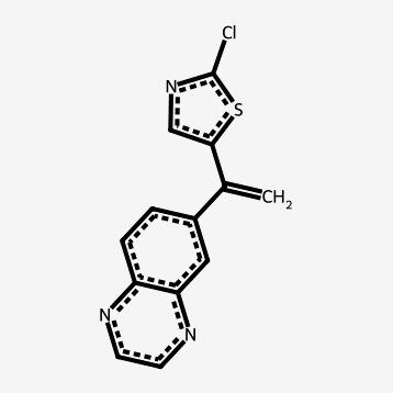 C=C(c1ccc2nccnc2c1)c1cnc(Cl)s1